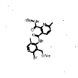 CCCCNC(=O)c1nc(C)ccc1C(=O)Nc1c(C)ccc(Br)c1COC